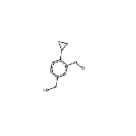 CCOc1cc([CH]O)ccc1C1CC1